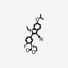 CCn1c(-c2ccc(F)c(N3CCOC3=O)c2)c(C#N)c2ccc(OC(C)C)cc21